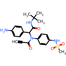 C#CC(=O)N(c1ccc(NS(C)(=O)=O)cc1)C(C(=O)NC(C)(C)C)c1ccc(N)cc1